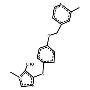 Cc1cc(COc2ccc(Sc3ncn(C)c3C=O)cc2)ccn1